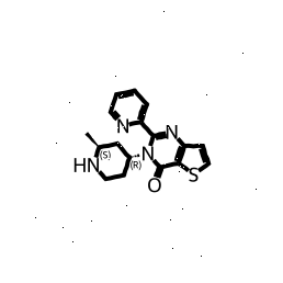 C[C@H]1C[C@H](n2c(-c3ccccn3)nc3ccsc3c2=O)CCN1